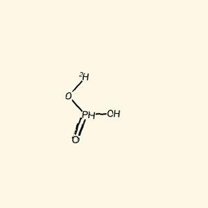 [2H]O[PH](=O)O